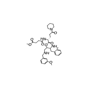 COC(=O)CCC(=O)N[C@H](CCC(=O)N1CCCCC1)C(=O)OC(CNCc1cccc(OC)c1)C(N)Cc1ccccc1